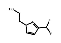 OCCn1ccc(C(F)F)n1